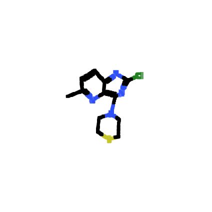 Cc1ccc2nc(Cl)nc(N3CCSCC3)c2n1